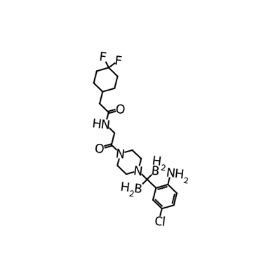 BC(B)(c1cc(Cl)ccc1N)N1CCN(C(=O)CNC(=O)CC2CCC(F)(F)CC2)CC1